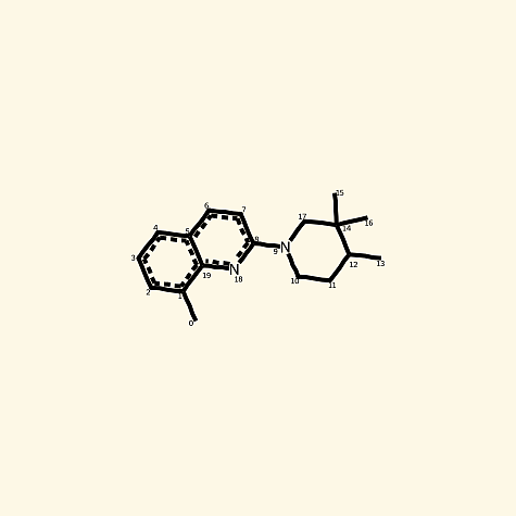 Cc1cccc2ccc(N3CCC(C)C(C)(C)C3)nc12